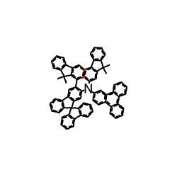 CC1(C)c2ccccc2-c2ccc(N(c3ccc4c5ccccc5c5ccccc5c4c3)c3cc4c(cc3-c3cccc5c3C(C)(C)c3ccccc3-5)-c3ccccc3C43c4ccccc4-c4ccccc43)cc21